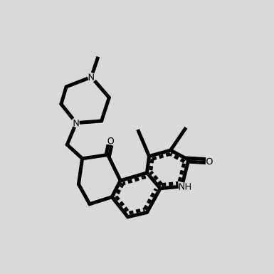 Cc1c(C)c2c3c(ccc2[nH]c1=O)CCC(CN1CCN(C)CC1)C3=O